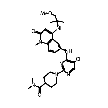 COCC(C)(C)Nc1cc(=O)n(C)c2ccc(Nc3nc(N4CCC(C(=O)N(C)C)CC4)ncc3Cl)cc12